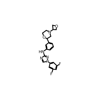 Fc1cc(F)cc(-n2cnc(Nc3cccc(C4CN(C5COC5)CCO4)c3)n2)c1